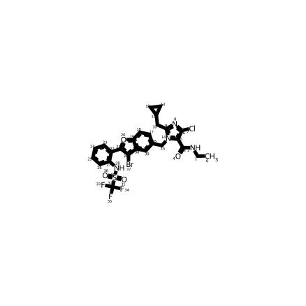 CCNC(=O)c1c(Cl)nc(CC2CC2)n1Cc1ccc2oc(-c3ccccc3NS(=O)(=O)C(F)(F)F)c(Br)c2c1